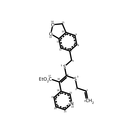 C=CCS/C(SCc1ccc2c(c1)OOC2)=C(/C(=O)OCC)c1cccnc1